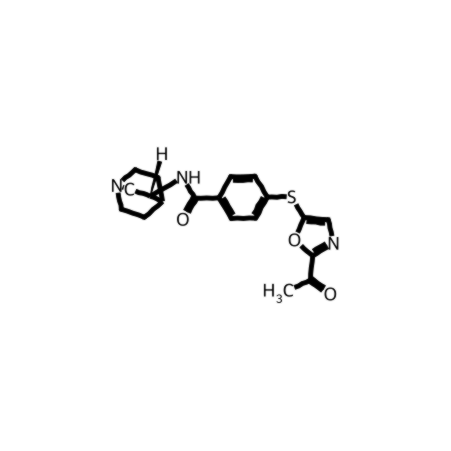 CC(=O)c1ncc(Sc2ccc(C(=O)N[C@H]3CN4CCC3CC4)cc2)o1